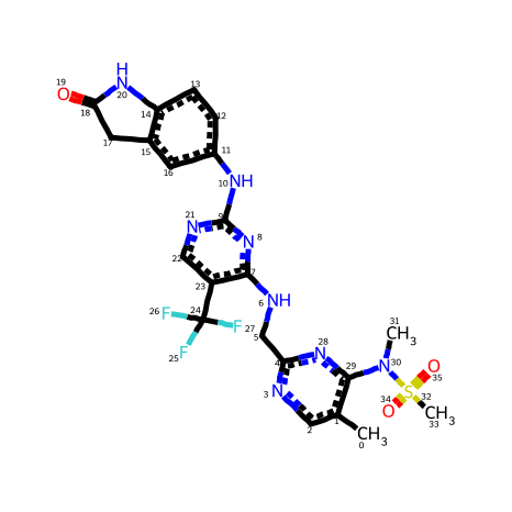 Cc1cnc(CNc2nc(Nc3ccc4c(c3)CC(=O)N4)ncc2C(F)(F)F)nc1N(C)S(C)(=O)=O